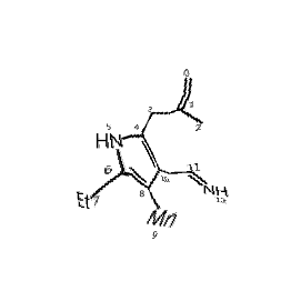 C=C(C)Cc1[nH]c(CC)[c]([Mn])c1C=N